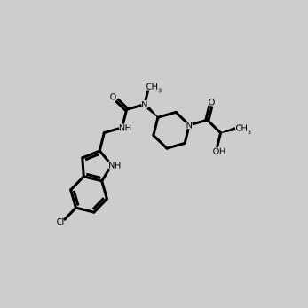 C[C@@H](O)C(=O)N1CCC[C@@H](N(C)C(=O)NCc2cc3cc(Cl)ccc3[nH]2)C1